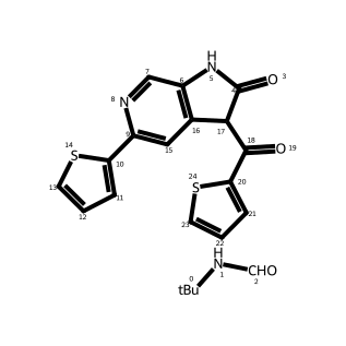 CC(C)(C)NC=O.O=C1Nc2cnc(-c3cccs3)cc2C1C(=O)c1cccs1